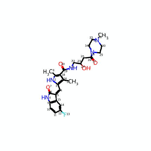 Cc1[nH]c(/C=C2\C(=O)Nc3ccc(F)cc32)c(C)c1C(=O)NCC(O)CC(=O)N1CCN(C)CC1